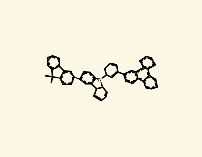 CC1(C)c2ccccc2-c2cc(-c3ccc4c(c3)C3C=CC=CC3N4C3C=C(c4ccc5c6ccccc6c6ccccc6c5c4)C=CC3)ccc21